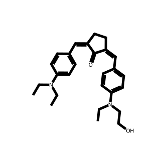 CCN(CC)c1ccc(C=C2CCC(=Cc3ccc(N(CC)CCO)cc3)C2=O)cc1